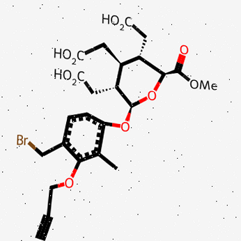 C#CCOc1c(CBr)ccc(O[C@@H]2O[C@H](C(=O)OC)[C@@H](CC(=O)O)[C@H](CC(=O)O)[C@H]2CC(=O)O)c1C